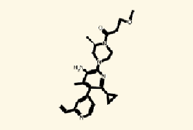 C=Cc1cc(-c2c(C3CC3)nc(N3CCN(C(=O)CCOC)[C@H](C)C3)c(N)c2C)ccn1